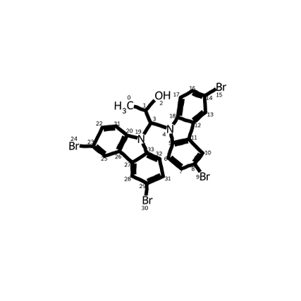 CC(O)C(n1c2ccc(Br)cc2c2cc(Br)ccc21)n1c2ccc(Br)cc2c2cc(Br)ccc21